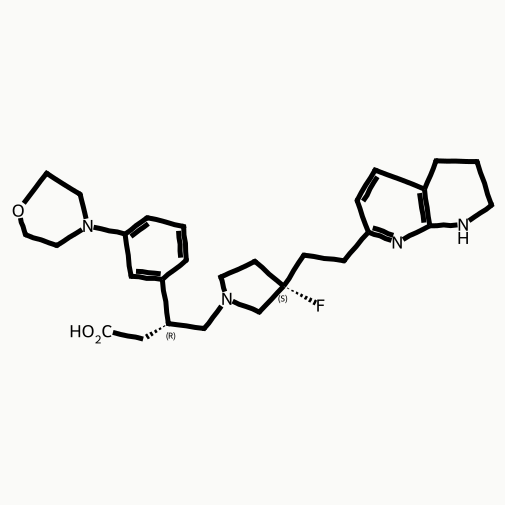 O=C(O)C[C@@H](CN1CC[C@@](F)(CCc2ccc3c(n2)NCCC3)C1)c1cccc(N2CCOCC2)c1